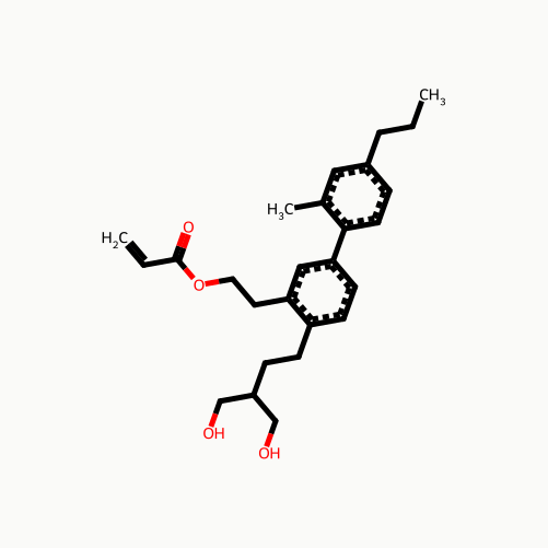 C=CC(=O)OCCc1cc(-c2ccc(CCC)cc2C)ccc1CCC(CO)CO